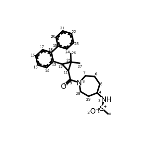 C[S+]([O-])NC1CCCN(C(=O)C2C(c3ccccc3-c3ccccc3)C2(C)C)CC1